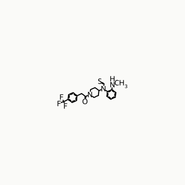 CNc1ccccc1N(C=S)C1CCN(C(=O)Cc2ccc(C(F)(F)F)cc2)CC1